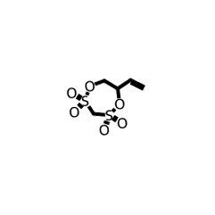 C=CC1COS(=O)(=O)CS(=O)(=O)O1